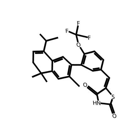 Cc1cc2c(cc1-c1cc(C=C3SC(=O)NC3=O)ccc1OC(F)(F)F)C(C(C)C)=CCC2(C)C